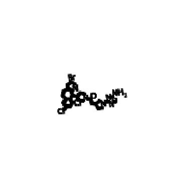 Nc1nc(N2CCC(CC(=O)N3CCC(C4c5ncc(Br)cc5CCc5cc(Cl)cc(Cl)c54)CC3)C2)no1